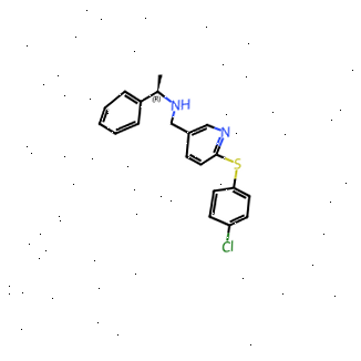 C[C@@H](NCc1ccc(Sc2ccc(Cl)cc2)nc1)c1ccccc1